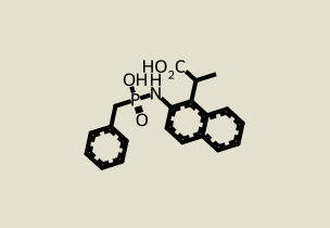 CC(C(=O)O)c1c(NP(=O)(O)Cc2ccccc2)ccc2ccccc12